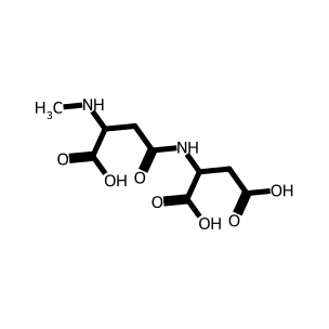 CNC(CC(=O)NC(CC(=O)O)C(=O)O)C(=O)O